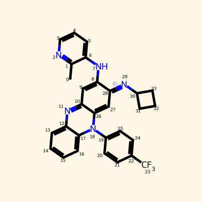 Cc1ncccc1Nc1cc2nc3ccccc3n(-c3ccc(C(F)(F)F)cc3)c-2c/c1=N\C1CCC1